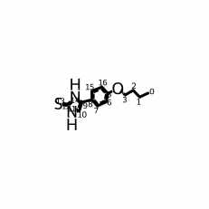 CCCCOc1ccc(-c2c[nH]c(=S)[nH]2)cc1